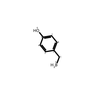 BCc1ccc(O)cc1